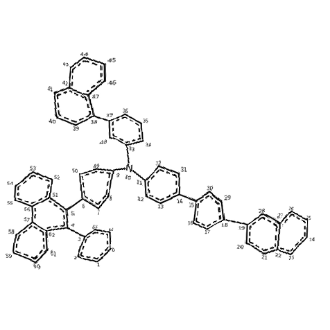 c1ccc(-c2c(-c3ccc(N(c4ccc(-c5ccc(-c6ccc7ccccc7c6)cc5)cc4)c4cccc(-c5cccc6ccccc56)c4)cc3)c3ccccc3c3ccccc23)cc1